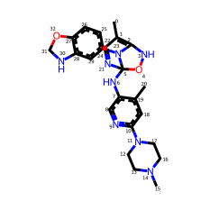 CC1=C2NOC(Nc3cnc(N4CCN(C)CC4)cc3C)(N=C1)N2c1ccc2c(c1)NCO2